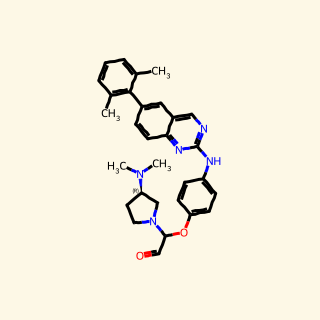 Cc1cccc(C)c1-c1ccc2nc(Nc3ccc(OC(C=O)N4CC[C@@H](N(C)C)C4)cc3)ncc2c1